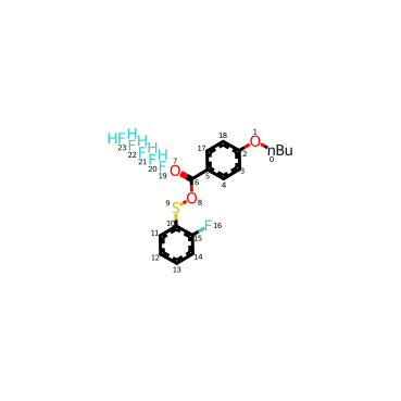 CCCCOc1ccc(C(=O)OSc2ccccc2F)cc1.F.F.F.F.F